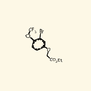 CCOC(=O)COc1ccc(OC(F)(F)F)c(Br)c1